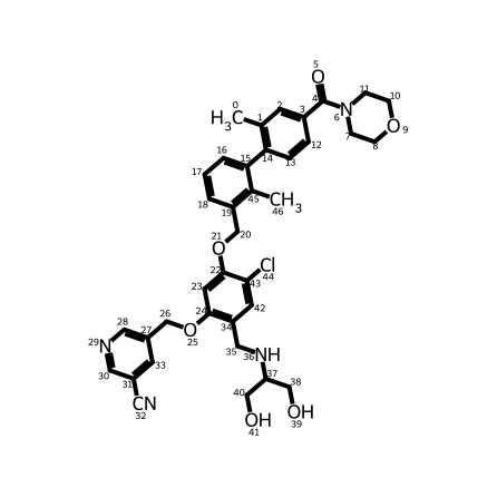 Cc1cc(C(=O)N2CCOCC2)ccc1-c1cccc(COc2cc(OCc3cncc(C#N)c3)c(CNC(CO)CO)cc2Cl)c1C